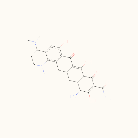 CN1CCC(N(C)C)c2cc(O)c3c(c21)CC1CC2C(C(=O)C(C(N)=O)=C(O)[C@H]2N)C(O)=C1C3=O